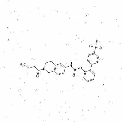 CCCC(=O)N1CCc2cc(NC(=O)Oc3ccccc3-c3ccc(C(F)(F)F)cc3)ccc2C1